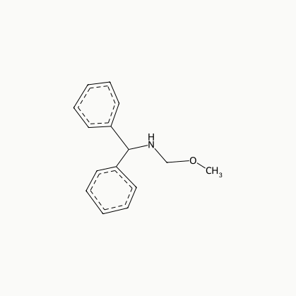 COCNC(c1ccccc1)c1ccccc1